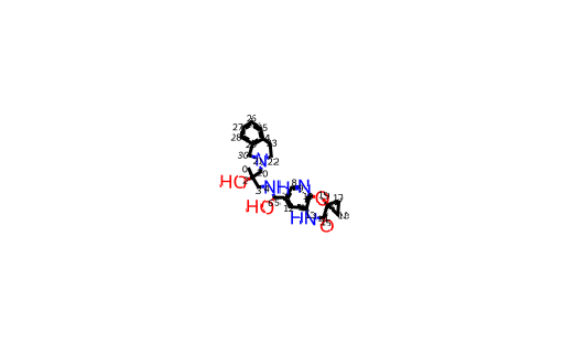 CC(O)(CNC(O)c1cnc2c(c1)NC(=O)C1(CC1)O2)CN1CCc2ccccc2C1